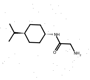 CC(C)[C@H]1CC[C@H](NC(=O)CN)CC1